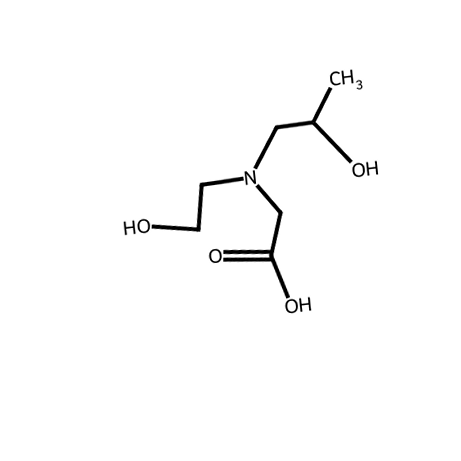 CC(O)CN(CCO)CC(=O)O